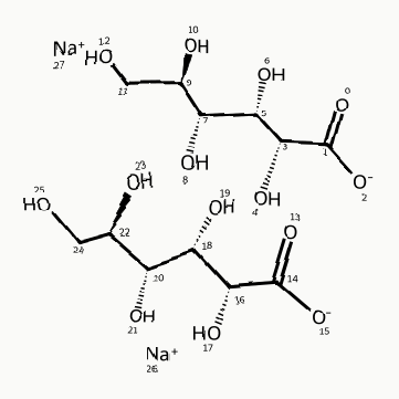 O=C([O-])[C@H](O)[C@@H](O)[C@H](O)[C@H](O)CO.O=C([O-])[C@H](O)[C@@H](O)[C@H](O)[C@H](O)CO.[Na+].[Na+]